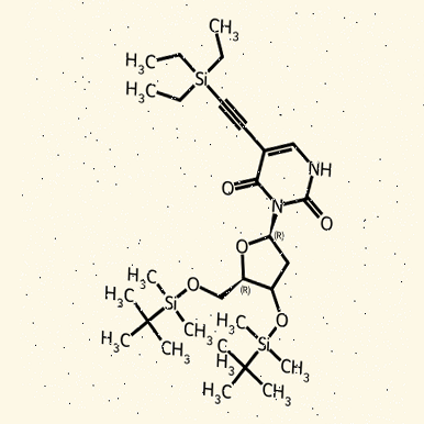 CC[Si](C#Cc1c[nH]c(=O)n([C@H]2CC(O[Si](C)(C)C(C)(C)C)[C@@H](CO[Si](C)(C)C(C)(C)C)O2)c1=O)(CC)CC